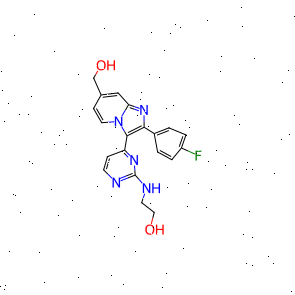 OCCNc1nccc(-c2c(-c3ccc(F)cc3)nc3cc(CO)ccn23)n1